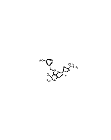 Cc1nc2cc(F)c(-c3cnc(P(C)C)nc3)nc2c(NCc2cccc(C#N)c2)c1Cl